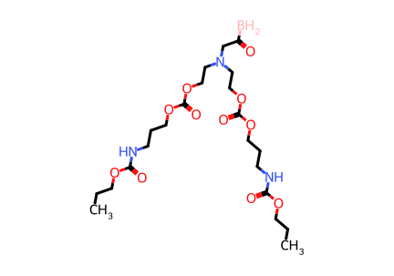 BC(=O)CN(CCOC(=O)OCCCNC(=O)OCCC)CCOC(=O)OCCCNC(=O)OCCC